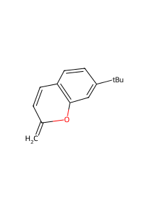 C=C1C=Cc2ccc(C(C)(C)C)cc2O1